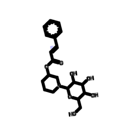 O=C(/C=C/c1ccccc1)OC1CCCN(C2OC(CO)C(O)C(O)C2O)C1